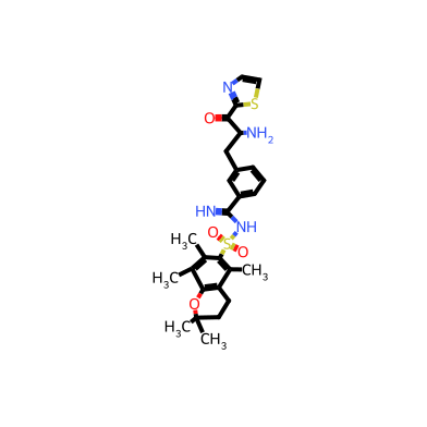 Cc1c(C)c(S(=O)(=O)NC(=N)c2cccc(CC(N)C(=O)c3nccs3)c2)c(C)c2c1OC(C)(C)CC2